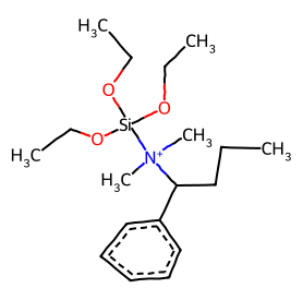 CCCC(c1ccccc1)[N+](C)(C)[Si](OCC)(OCC)OCC